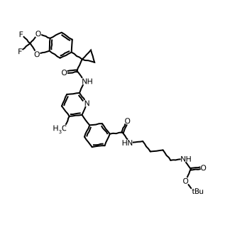 Cc1ccc(NC(=O)C2(c3ccc4c(c3)OC(F)(F)O4)CC2)nc1-c1cccc(C(=O)NCCCCNC(=O)OC(C)(C)C)c1